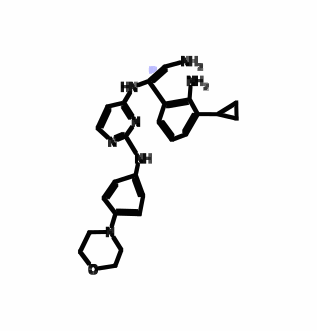 N/C=C(/Nc1ccnc(Nc2ccc(N3CCOCC3)cc2)n1)c1cccc(C2CC2)c1N